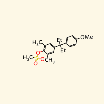 CCC(CC)(c1ccc(OC)cc1)c1cc(C)c(OS(C)(=O)=O)c(C)c1